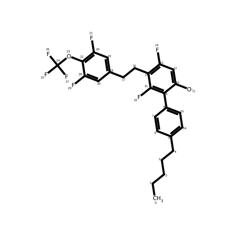 CCCCCc1ccc(-c2c([O])cc(F)c(CCc3cc(F)c(OC(F)(F)F)c(F)c3)c2F)cc1